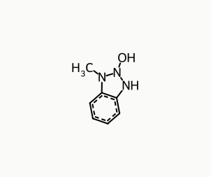 CN1c2ccccc2NN1O